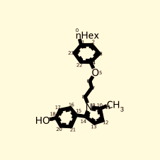 CCCCCCc1ccc(OCCCn2c(C)ccc2-c2ccc(O)cc2)cc1